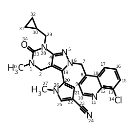 CN1Cc2c(nn(Cc3ccnc4c(Cl)cccc34)c2-c2cc(C#N)cn2C)N(CC2CC2)C1=O